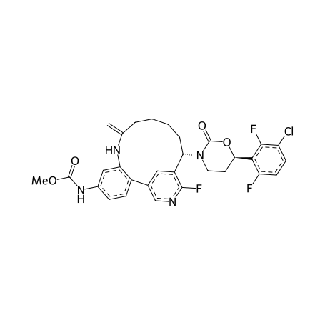 C=C1CCCC[C@H](N2CC[C@H](c3c(F)ccc(Cl)c3F)OC2=O)c2cc(cnc2F)-c2ccc(NC(=O)OC)cc2N1